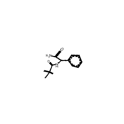 CC(C)(C)C(=O)N[C@@H](C(N)=O)c1ccccc1